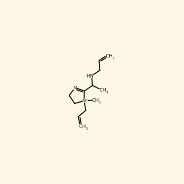 C=CCNC(C)C1=NCC[N+]1(C)CC=C